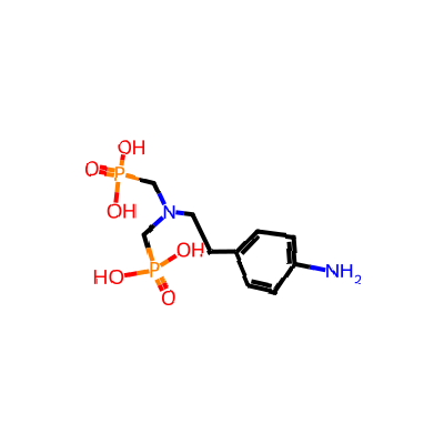 Nc1ccc(CCN(CP(=O)(O)O)CP(=O)(O)O)cc1